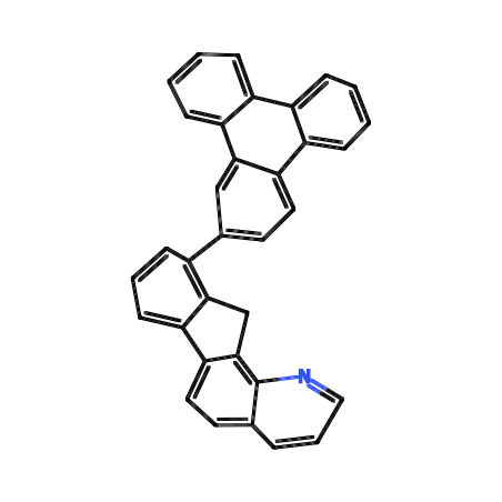 c1cc(-c2ccc3c4ccccc4c4ccccc4c3c2)c2c(c1)-c1ccc3cccnc3c1C2